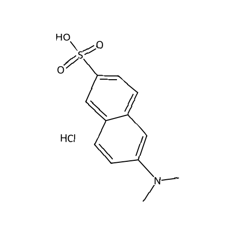 CN(C)c1ccc2cc(S(=O)(=O)O)ccc2c1.Cl